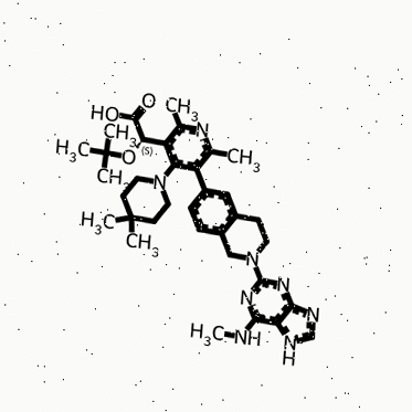 CNc1nc(N2CCc3cc(-c4c(C)nc(C)c([C@H](OC(C)(C)C)C(=O)O)c4N4CCC(C)(C)CC4)ccc3C2)nc2nc[nH]c12